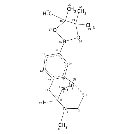 CN1CC[C@@]23CCCCC2[C@@H]1Cc1ccc(B2OC(C)(C)C(C)(C)O2)cc13